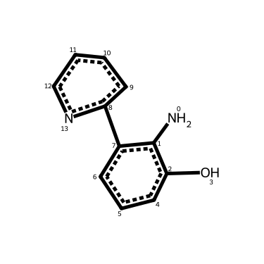 Nc1c(O)cccc1-c1ccccn1